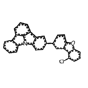 Clc1cccc2oc3ccc(-c4ccc5c(c4)c4cccc6c7ccccc7n5c64)cc3c12